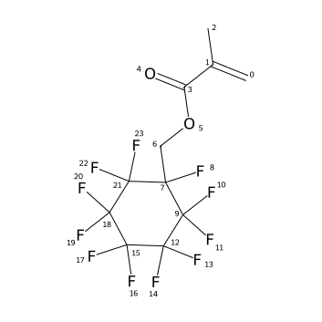 C=C(C)C(=O)OCC1(F)C(F)(F)C(F)(F)C(F)(F)C(F)(F)C1(F)F